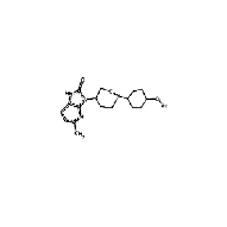 CCOC1CCC(N2CCC(n3c(=O)[nH]c4ccc(C)nc43)CC2)CC1